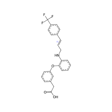 O=C(O)Cc1cccc(Oc2ccccc2NC/C=C/c2ccc(C(F)(F)F)cc2)c1